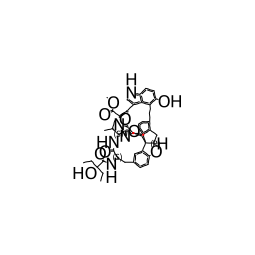 CCC(O)(CC)C(=O)N[C@H]1Cc2ccc3c(c2)C24c5cccc(c5C[C@H]2O3)-c2c(O)ccc3[nH]cc(c23)-c2oc(nc2C(=O)OC)-c2nc(oc24)[C@H](C(C)C)NC1=O